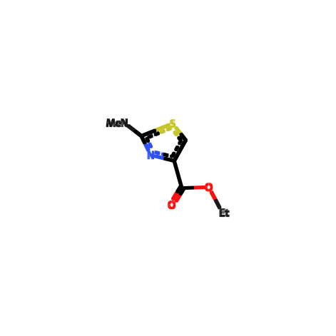 CCOC(=O)c1csc(NC)n1